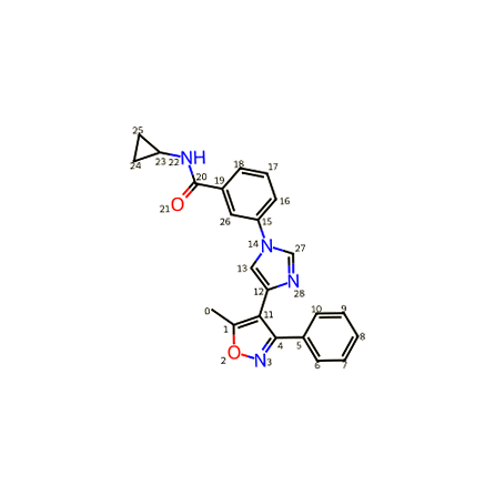 Cc1onc(-c2ccccc2)c1-c1cn(-c2cccc(C(=O)NC3CC3)c2)cn1